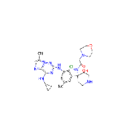 N#Cc1cc(Nc2nc(NC3CC3)c3ncc(C#N)n3n2)c(Cl)c([C@]2(NC(=O)CN3CCOCC3)CCNC[C@H]2O)c1